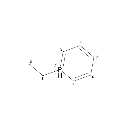 CC[PH]1=CC=CC=C1